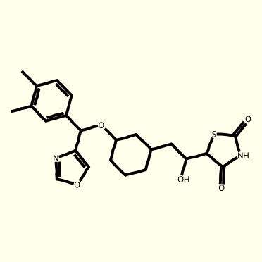 Cc1ccc(C(OC2CCCC(CC(O)C3SC(=O)NC3=O)C2)c2cocn2)cc1C